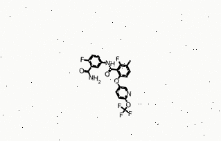 Cc1ccc(Oc2ccc(OC(F)(F)F)nc2)c(C(=O)Nc2ccc(F)c(C(N)=O)c2)c1F